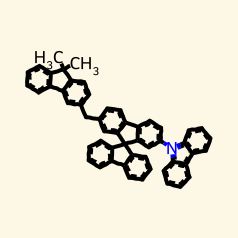 CC1(C)c2ccccc2-c2cc(Cc3ccc4c(c3)C3(c5ccccc5-c5ccccc53)c3cc(-n5c6ccccc6c6ccccc65)ccc3-4)ccc21